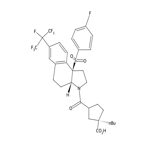 CCCC[C@@]1(C(=O)O)CCC(C(=O)N2CC[C@@]3(S(=O)(=O)c4ccc(F)cc4)c4ccc(C(F)(C(F)(F)F)C(F)(F)F)cc4CC[C@@H]23)C1